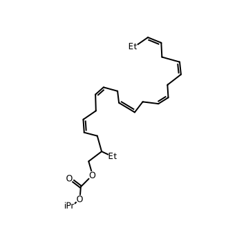 CC/C=C\C/C=C\C/C=C\C/C=C\C/C=C\C/C=C\CC(CC)COC(=O)OC(C)C